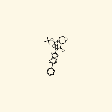 CC(C)(C)OC(=O)N1CCOC[C@H]1C(=O)Nc1cn2cc(-c3ccccc3)sc2n1